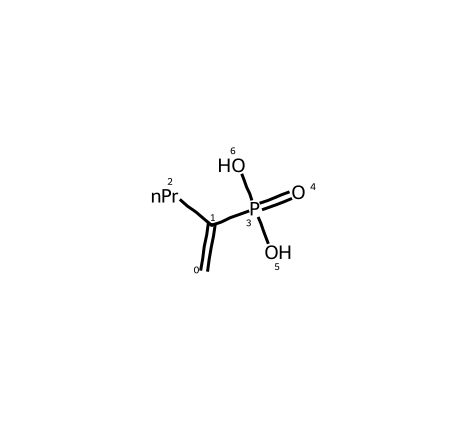 C=C(CCC)P(=O)(O)O